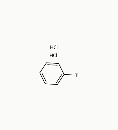 Cl.Cl.[Tl][c]1ccccc1